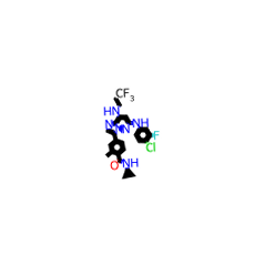 Cc1cc(-c2cnc3c(NCCC(F)(F)F)cc(Nc4ccc(Cl)c(F)c4)nn23)ccc1C(=O)NC1CC1